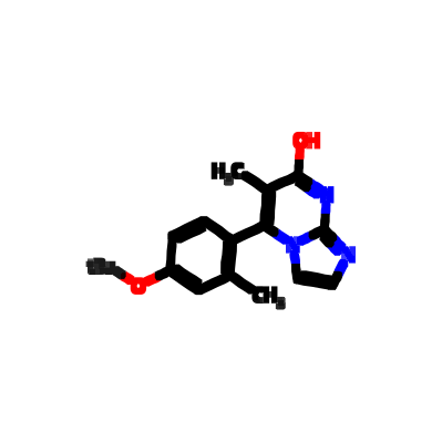 Cc1cc(OC(C)(C)C)ccc1-c1c(C)c(O)nc2nccn12